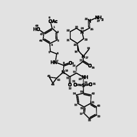 CC(=O)Oc1ccc(CCNC(=O)N(C(=O)[C@H](CC(=O)N(C)C[C@H]2CCCN(C=NN)C2)NS(=O)(=O)c2ccc3ccccc3c2)C2CC2)cc1O